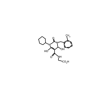 Cc1ccccc1CN1C(=O)N(C2CCCCC2)C(O)=C(C(=O)NCC(=O)O)C1O